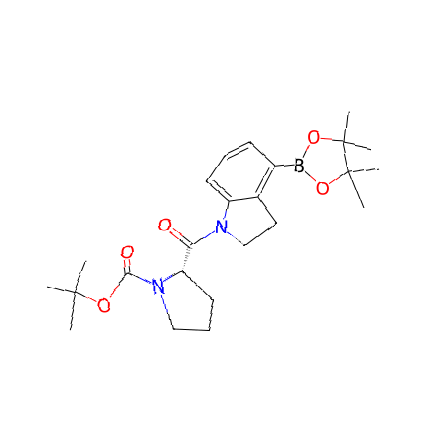 CC(C)(C)OC(=O)N1CCC[C@H]1C(=O)N1CCc2c(B3OC(C)(C)C(C)(C)O3)cccc21